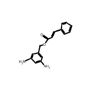 Nc1cc(N)cc(COC(=O)C=Cc2ccccc2)c1